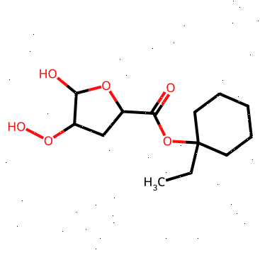 CCC1(OC(=O)C2CC(OO)C(O)O2)CCCCC1